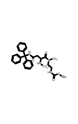 CN(CCNC(=O)OC(C)(C)C)C(=O)C(CC(=O)NC(c1ccccc1)(c1ccccc1)c1ccccc1)NC(=O)O